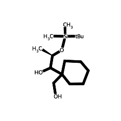 C[C@@H](O[Si](C)(C)C(C)(C)C)C(O)C1(CO)CCCCC1